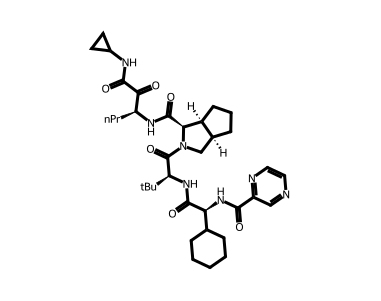 CCC[C@H](NC(=O)[C@H]1[C@H]2CCC[C@H]2CN1C(=O)[C@@H](NC(=O)[C@@H](NC(=O)c1cnccn1)C1CCCCC1)C(C)(C)C)C(=O)C(=O)NC1CC1